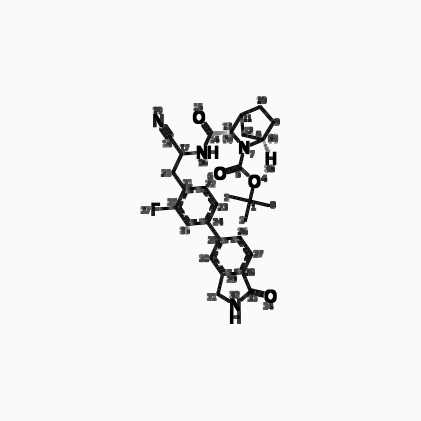 CC(C)(C)OC(=O)N1[C@@H]2CCC(C2)[C@H]1C(=O)NC(C#N)Cc1ccc(-c2ccc3c(c2)CNC3=O)cc1F